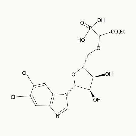 CCOC(=O)C(OC[C@H]1O[C@@H](n2cnc3cc(Cl)c(Cl)cc32)[C@H](O)[C@@H]1O)P(=O)(O)O